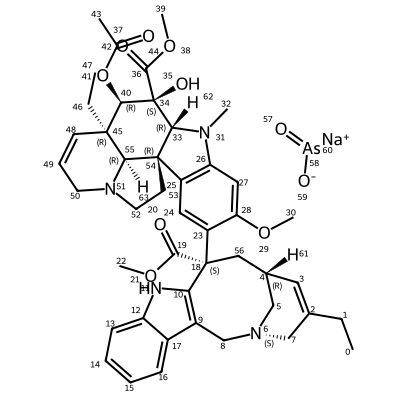 CCC1=C[C@@H]2C[N@](C1)Cc1c([nH]c3ccccc13)[C@@](C(=O)OC)(c1cc3c(cc1OC)N(C)[C@H]1[C@@](O)(C(=O)OC)[C@H](OC(C)=O)[C@]4(CC)C=CCN5CC[C@]31[C@@H]54)C2.O=[As][O-].[Na+]